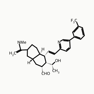 C=C(NC)C1CC[C@@H]2[C@@H](C1)C[C@@H](C=O)[C@@H]([C@@H](C)O)[C@H]2/C=C/c1ccc(-c2cccc(C(F)(F)F)c2)cn1